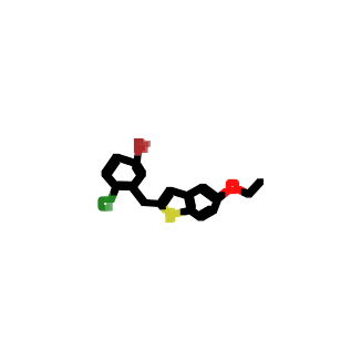 CCOc1ccc2sc(Cc3cc(Br)ccc3Cl)cc2c1